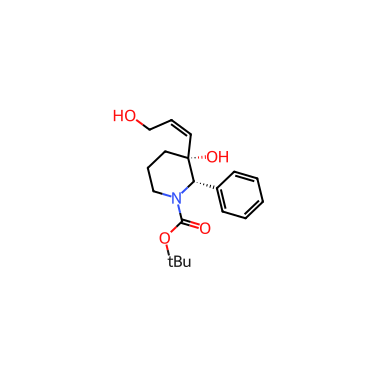 CC(C)(C)OC(=O)N1CCC[C@@](O)(/C=C\CO)[C@@H]1c1ccccc1